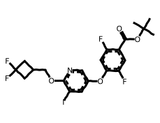 CC(C)(C)OC(=O)c1cc(F)c(Oc2cnc(OCC3CC(F)(F)C3)c(I)c2)cc1F